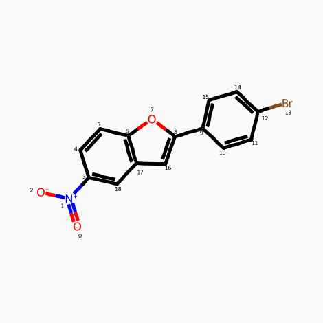 O=[N+]([O-])c1ccc2oc(-c3ccc(Br)cc3)cc2c1